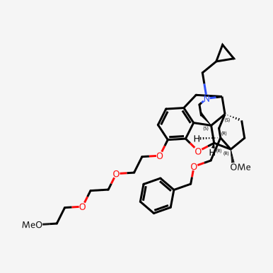 COCCOCCOCCOc1ccc2c3c1O[C@H]1[C@@]4(OC)CC[C@@]5(C[C@@H]4COCc4ccccc4)C(C2)N(CC2CC2)CC[C@]315